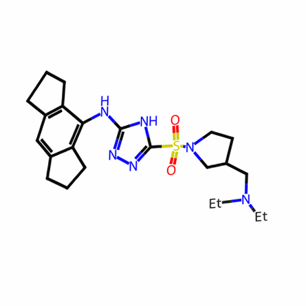 CCN(CC)CC1CCN(S(=O)(=O)c2nnc(Nc3c4c(cc5c3CCC5)CCC4)[nH]2)C1